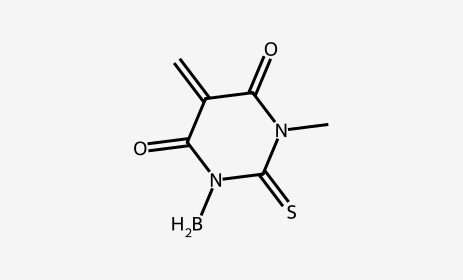 BN1C(=O)C(=C)C(=O)N(C)C1=S